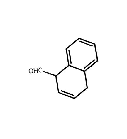 O=CC1C=CCc2ccccc21